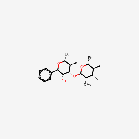 CC[C@H]1O[C@H](O[C@H]2[C@H](C)[C@@H](CC)O[C@H](c3ccccc3)[C@H]2O)[C@@H](OC(C)=O)[C@@H](C)[C@@H]1C